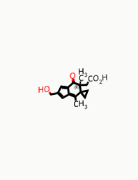 CC1=C2C=C(CO)C=C2C(=O)[C@](C)(CC(=O)O)C12CC2